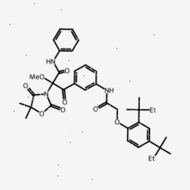 CCC(C)(C)c1ccc(OCC(=O)Nc2cccc(C(=O)C(OC)(C(=O)Nc3ccccc3)N3C(=O)OC(C)(C)C3=O)c2)c(C(C)(C)CC)c1